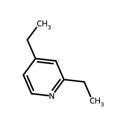 CCc1[c]c(CC)ncc1